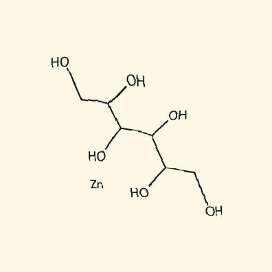 OCC(O)C(O)C(O)C(O)CO.[Zn]